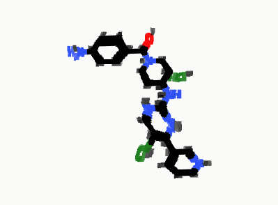 Cl.Nc1ccc(C(=O)N2CCC(Nc3ncc(Cl)c(-c4cccnc4)n3)CC2)cc1